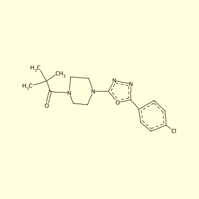 CC(C)(C)C(=O)N1CCN(c2nnc(-c3ccc(Cl)cc3)o2)CC1